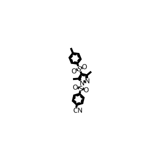 Cc1ccc(S(=O)(=O)c2c(C)nn(S(=O)(=O)c3ccc(C#N)cc3)c2C)cc1